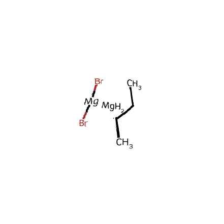 C[CH]CC.[Br][Mg][Br].[MgH2]